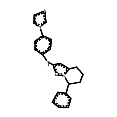 c1ccc(C2CCCc3cc(Nc4ccc(-n5ccnc5)cc4)nn32)cc1